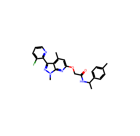 Cc1ccc(C(C)NC(=O)COc2cc(C)c3c(-c4ncccc4F)nn(C)c3n2)cc1